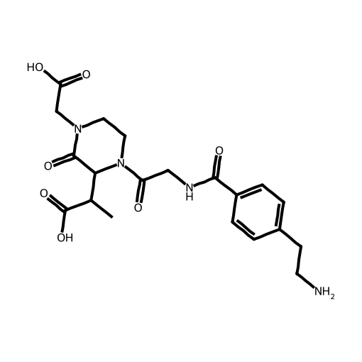 CC(C(=O)O)C1C(=O)N(CC(=O)O)CCN1C(=O)CNC(=O)c1ccc(CCN)cc1